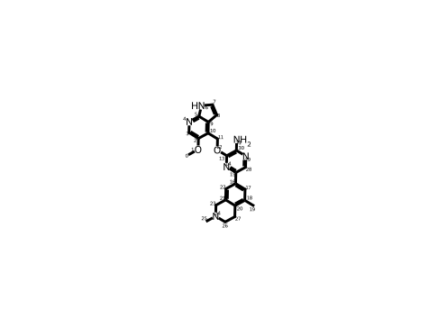 COc1cnc2[nH]ccc2c1COc1nc(-c2cc(C)c3c(c2)CN(C)CC3)cnc1N